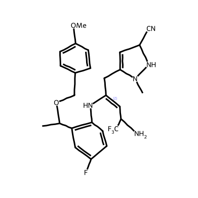 COc1ccc(COC(C)c2cc(F)ccc2N/C(=C\C(N)C(F)(F)F)CC2=CC(C#N)NN2C)cc1